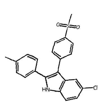 Cc1ccc(-c2[nH]c3ccc(Cl)cc3c2-c2ccc(S(C)(=O)=O)cc2)cc1